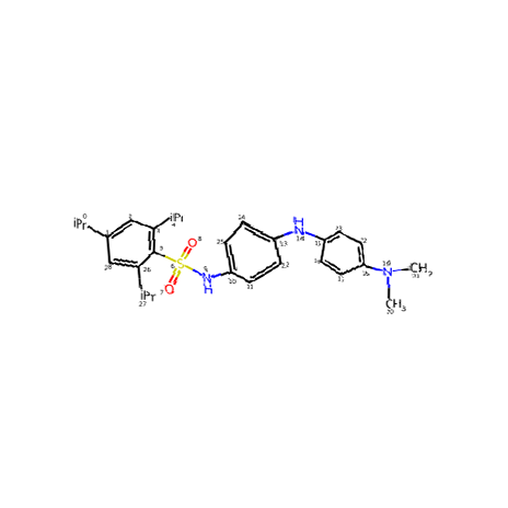 CC(C)c1cc(C(C)C)c(S(=O)(=O)Nc2ccc(Nc3ccc(N(C)C)cc3)cc2)c(C(C)C)c1